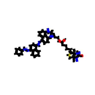 CC1(CCCOC(=O)CCCC[C@H]2SC[C@H]3NC(=O)N[C@H]32)Nc2cccc3c(N=Nc4ccc(/N=N/c5ccccc5)c5ccccc45)ccc(c23)N1